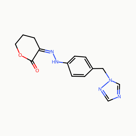 O=C1OCCCC1=NNc1ccc(Cn2cncn2)cc1